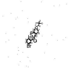 CC(C)(C)CCN1CC[C@@H](CNC(=O)c2cccc(Br)c2)[C@@H](F)C1